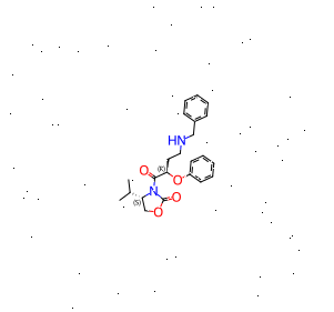 CC(C)[C@H]1COC(=O)N1C(=O)[C@@H](CCNCc1ccccc1)Oc1ccccc1